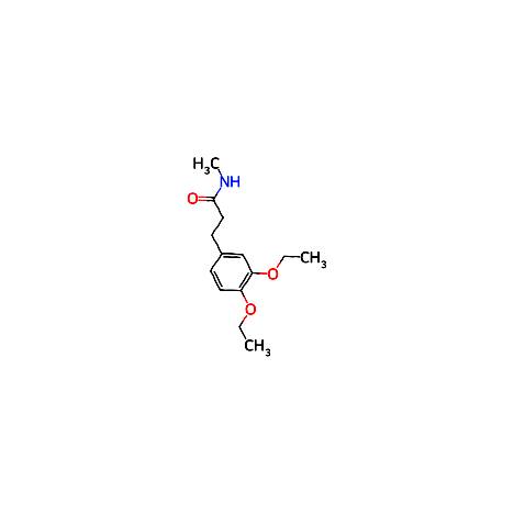 CCOc1ccc(CCC(=O)NC)cc1OCC